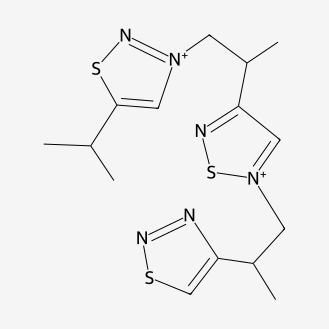 CC(C)c1c[n+](CC(C)c2c[n+](CC(C)c3csnn3)sn2)ns1